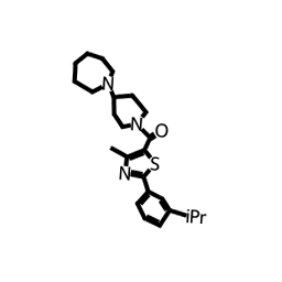 Cc1nc(-c2cccc(C(C)C)c2)sc1C(=O)N1CCC(N2CCCCCC2)CC1